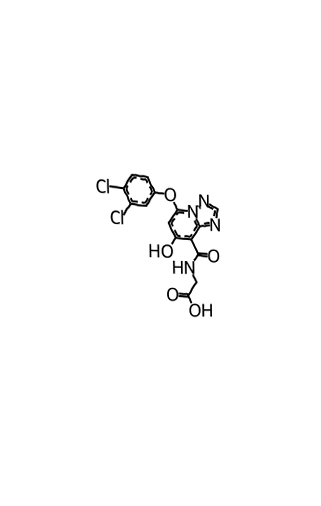 O=C(O)CNC(=O)c1c(O)cc(Oc2ccc(Cl)c(Cl)c2)n2ncnc12